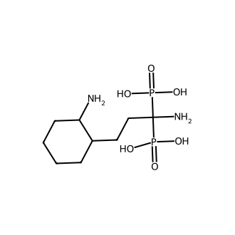 NC1CCCCC1CCC(N)(P(=O)(O)O)P(=O)(O)O